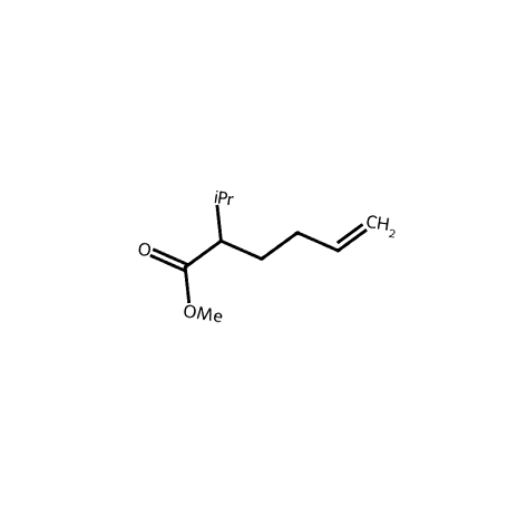 C=CCCC(C(=O)OC)C(C)C